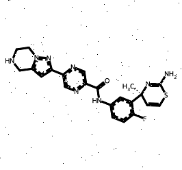 C[C@@]1(c2cc(NC(=O)c3cnc(-c4cc5n(n4)CCNC5)cn3)ccc2F)C=CSC(N)=N1